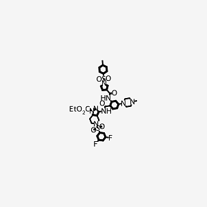 CCOC(=O)n1nc(NC(=O)c2ccc(N3CCN(C)CC3)cc2NC(=O)c2ccn(S(=O)(=O)c3ccc(C)cc3)c2)c2c1CCN(S(=O)(=O)c1cc(F)cc(F)c1)C2